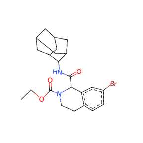 CCOC(=O)N1CCc2ccc(Br)cc2C1C(=O)NC1C2CC3CC(C2)CC1C3